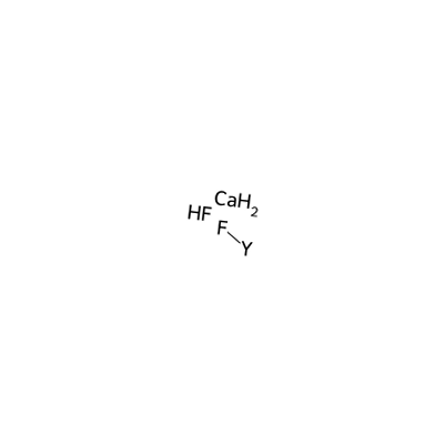 F.[CaH2].[F][Y]